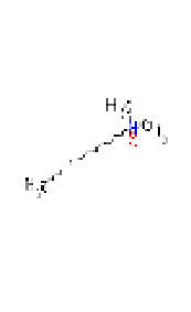 CCCCCCCCCCCCCCCCC(=O)N(CCC)CCC